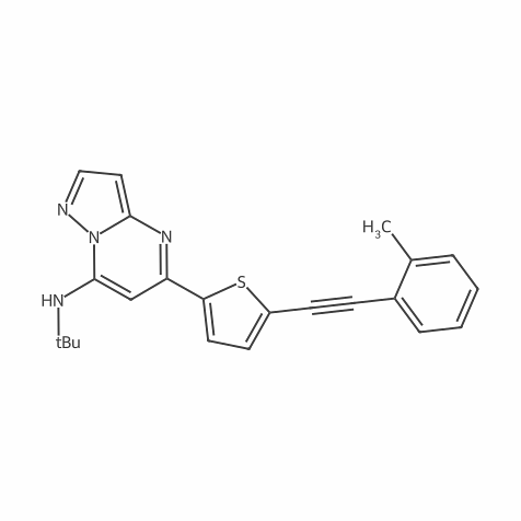 Cc1ccccc1C#Cc1ccc(-c2cc(NC(C)(C)C)n3nccc3n2)s1